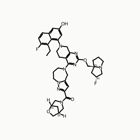 CCc1c(F)ccc2cc(O)cc(N3CCc4c(nc(OC[C@@]56CCCN5C[C@H](F)C6)nc4N4CCCn5nc(C(=O)N6C[C@@H]7CO[C@@H](C7)C6)cc5C4)C3)c12